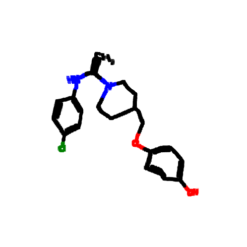 C=C(Nc1ccc(Cl)cc1)N1CCC(COc2ccc(O)cc2)CC1